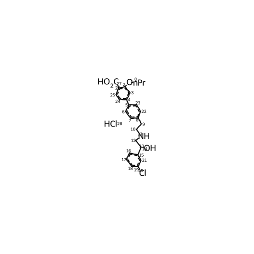 CCCOc1cc(-c2ccc(CCNC[C@H](O)c3cccc(Cl)c3)cc2)ccc1C(=O)O.Cl